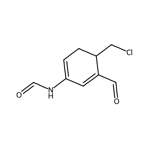 O=CNC1=CCC(CCl)C(C=O)=C1